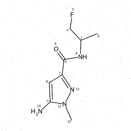 CC(CF)NC(=O)c1cc(N)n(C)n1